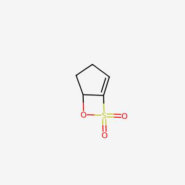 O=S1(=O)OC2CCC=C21